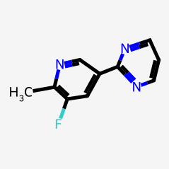 Cc1ncc(-c2ncccn2)cc1F